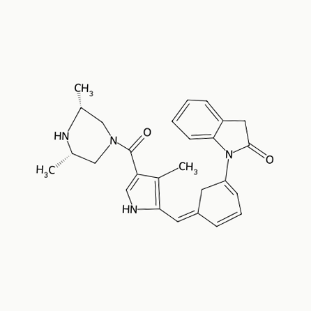 Cc1c(C(=O)N2C[C@@H](C)N[C@@H](C)C2)c[nH]c1C=C1C=CC=C(N2C(=O)Cc3ccccc32)C1